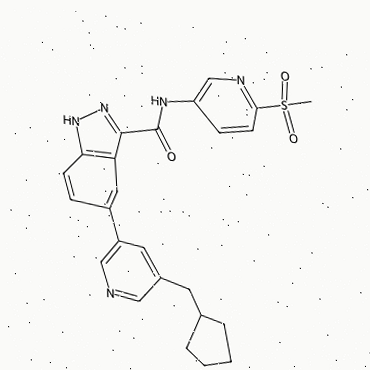 CS(=O)(=O)c1ccc(NC(=O)c2n[nH]c3ccc(-c4cncc(CC5CCCC5)c4)cc23)cn1